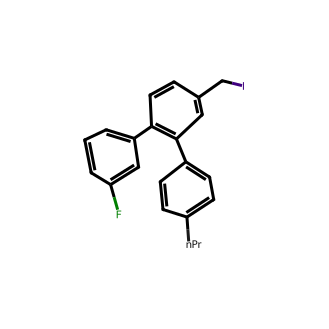 CCCc1ccc(-c2cc(CI)ccc2-c2cccc(F)c2)cc1